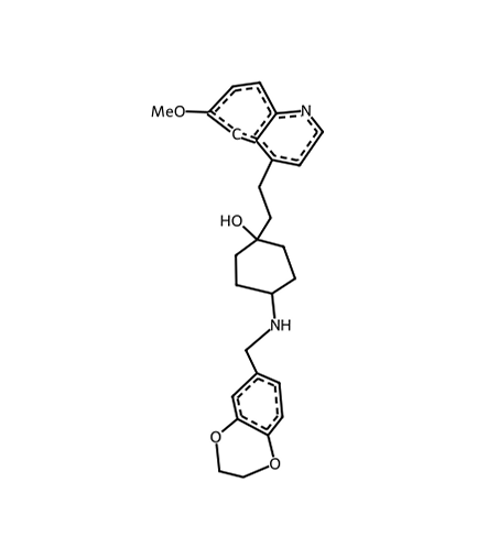 COc1ccc2nccc(CCC3(O)CCC(NCc4ccc5c(c4)OCCO5)CC3)c2c1